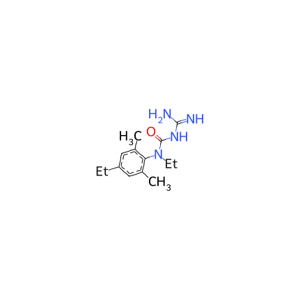 CCc1cc(C)c(N(CC)C(=O)NC(=N)N)c(C)c1